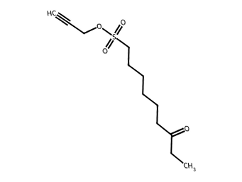 C#CCOS(=O)(=O)CCCCCCC(=O)CC